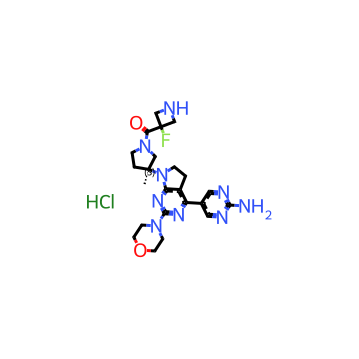 C[C@]1(N2CCc3c(-c4cnc(N)nc4)nc(N4CCOCC4)nc32)CCN(C(=O)C2(F)CNC2)C1.Cl